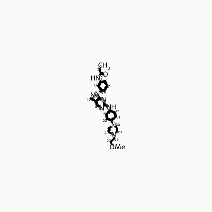 C=CC(=O)Nc1cccc(-n2ncc3cnc(Nc4ccc(N5CCN(CCOC)CC5)cc4)nc32)c1